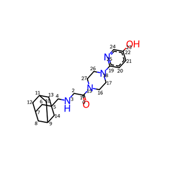 O=C(CNCC12CC3CC(CC(C3)C1)C2)N1CCN(c2ccc(O)cn2)CC1